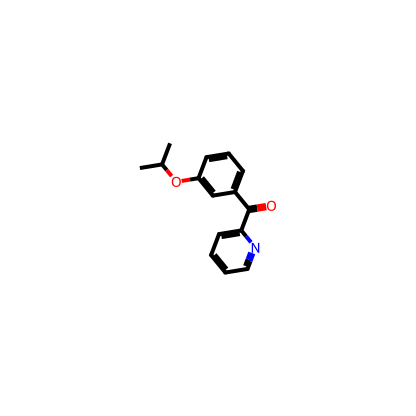 CC(C)Oc1cccc(C(=O)c2ccccn2)c1